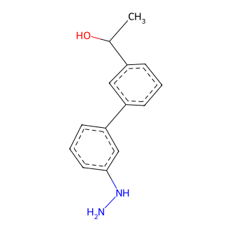 CC(O)c1cccc(-c2cccc(NN)c2)c1